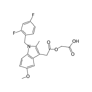 COc1ccc2c(c1)c(CC(=O)OCC(=O)O)c(C)n2Cc1ccc(F)cc1F